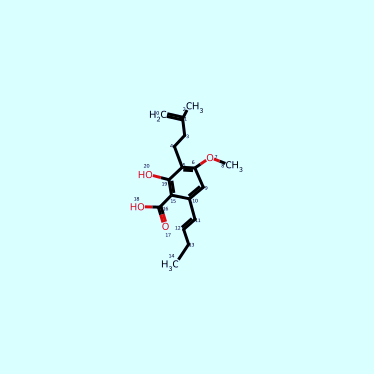 C=C(C)CCc1c(OC)cc(C=CCC)c(C(=O)O)c1O